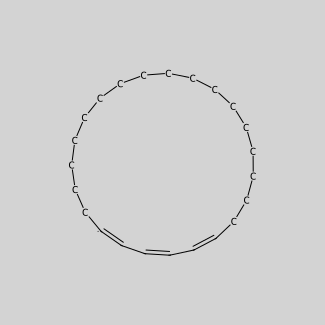 [C]1=C/C=C\C=C/CCCCCCCCCCCCCCCCC\1